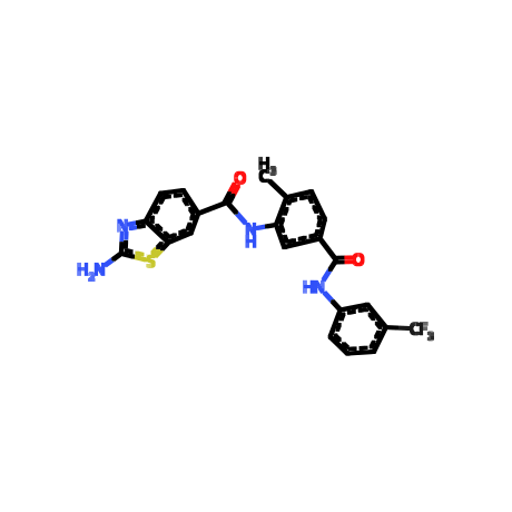 Cc1ccc(C(=O)Nc2cccc(C(F)(F)F)c2)cc1NC(=O)c1ccc2nc(N)sc2c1